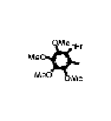 CCCc1c(C)c(OC)c(OC)c(OC)c1OC